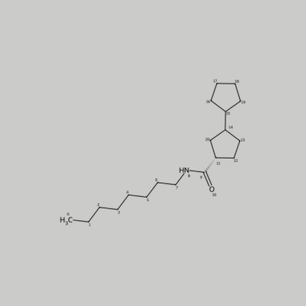 CCCCCCCCNC(=O)[C@H]1CCC(C2CCCC2)C1